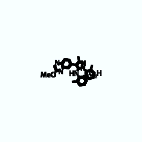 COc1cnc2ccc(-c3c(C)nn(-c4ccccc4C)c3Nc3c(C)cccc3C(=O)O)cc2n1